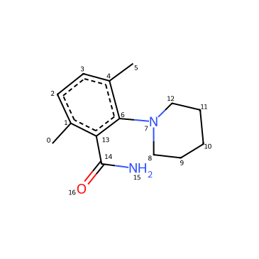 Cc1ccc(C)c(N2CCCCC2)c1C(N)=O